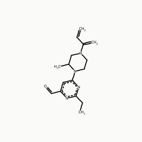 C=CC(=C)N1CCN(c2cc(C=O)nc(CC)n2)C(C)C1